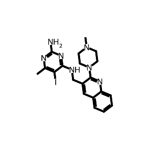 Cc1nc(N)nc(NCc2cc3ccccc3nc2N2CCN(C)CC2)c1I